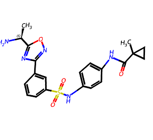 C[C@H](N)c1nc(-c2cccc(S(=O)(=O)Nc3ccc(NC(=O)C4(C)CC4)cc3)c2)no1